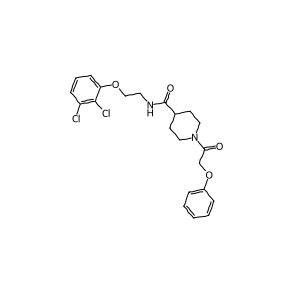 O=C(NCCOc1cccc(Cl)c1Cl)C1CCN(C(=O)COc2ccccc2)CC1